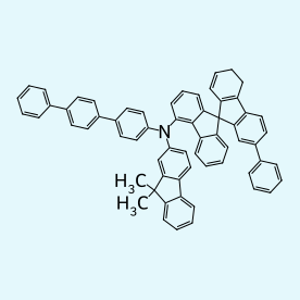 CC1(C)c2ccccc2-c2ccc(N(c3ccc(-c4ccc(-c5ccccc5)cc4)cc3)c3cccc4c3-c3ccccc3C43C4=C(CCC=C4)c4ccc(-c5ccccc5)cc43)cc21